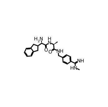 CNC(=N)c1ccc(CNC(=O)[C@H](C)NC(=O)[C@H](N)C2Cc3ccccc3C2)cc1